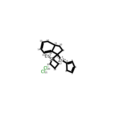 CC[Si]1([C]2([Zr+2][C]3=CC=CC3)CCC3CC=CC=C32)CCC1.[Cl-].[Cl-]